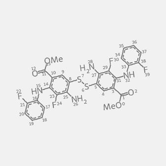 COC(=O)c1cc(SSc2cc(C(=O)OC)c(Nc3ccccc3F)c(F)c2N)c(N)c(F)c1Nc1ccccc1F